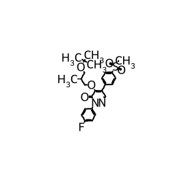 C[C@H](COc1c(-c2ccc(S(C)(=O)=O)cc2)cnn(-c2ccc(F)cc2)c1=O)COC(C)(C)C